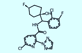 O=C(NC(c1cccc(F)c1Cl)[C@]1(O)CC[C@@H](F)CC1)c1ccc(Cl)nc1-n1nccn1